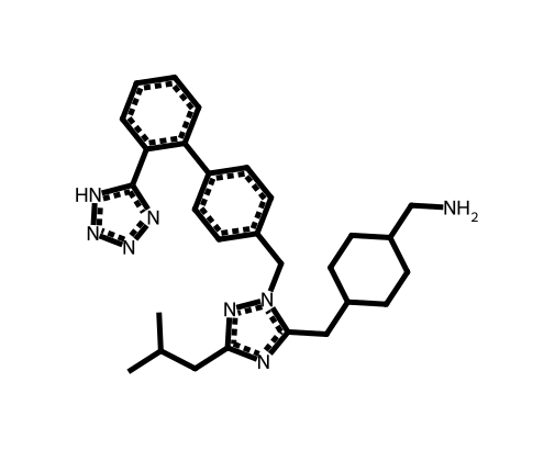 CC(C)Cc1nc(CC2CCC(CN)CC2)n(Cc2ccc(-c3ccccc3-c3nnn[nH]3)cc2)n1